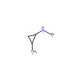 CC(C)NC1CC1C